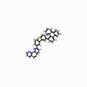 c1cnc2c(c1)ccc1ccc(-c3ccc4sc5ccc(-c6cccc7c8ccccc8c8ccccc8c67)cc5c4c3)nc12